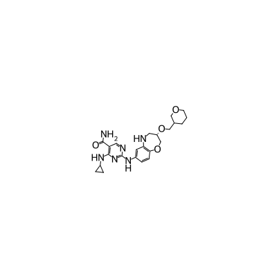 NC(=O)c1cnc(Nc2ccc3c(c2)NC[C@H](OCC2CCCOC2)CO3)nc1NC1CC1